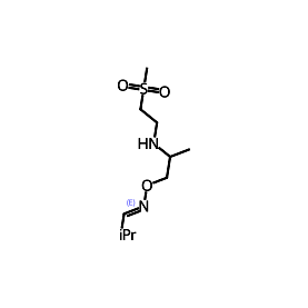 CC(C)/C=N/OCC(C)NCCS(C)(=O)=O